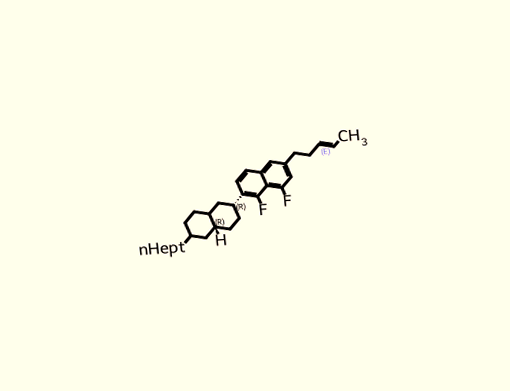 C/C=C/CCc1cc(F)c2c(F)c([C@@H]3CC[C@@H]4CC(CCCCCCC)CCC4C3)ccc2c1